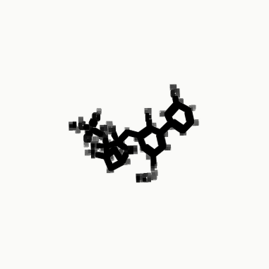 CS(=O)(=O)N[C@@H]1[C@H](Cc2cc(F)cc(-c3cccc(Cl)c3)c2F)NC2CC1(F)C2.Cl